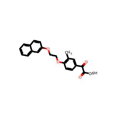 COC(=O)C(=O)c1ccc(OCCOc2ccc3ccccc3c2)c(C)c1